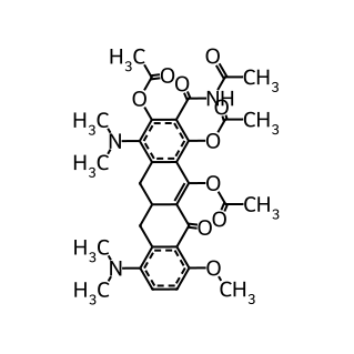 COc1ccc(N(C)C)c2c1C(=O)C1=C(OC(C)=O)c3c(c(N(C)C)c(OC(C)=O)c(C(=O)NC(C)=O)c3OC(C)=O)CC1C2